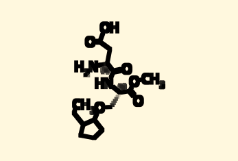 CCC1CCCC1OC[C@H](NC(=O)[C@@H](N)CC(=O)O)C(=O)OC